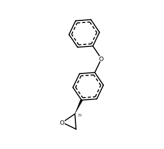 c1ccc(Oc2ccc([C@H]3CO3)cc2)cc1